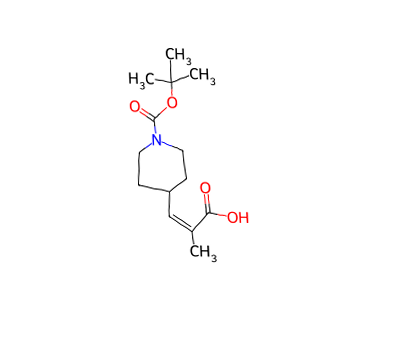 C/C(=C/C1CCN(C(=O)OC(C)(C)C)CC1)C(=O)O